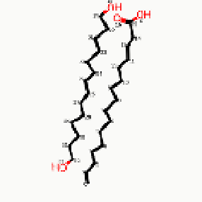 CCCCCCCCCCCCCCCC(=O)O.OCCCCCCCCCCCCCCO